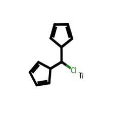 Cl[C](C1C=CC=C1)C1C=CC=C1.[Ti]